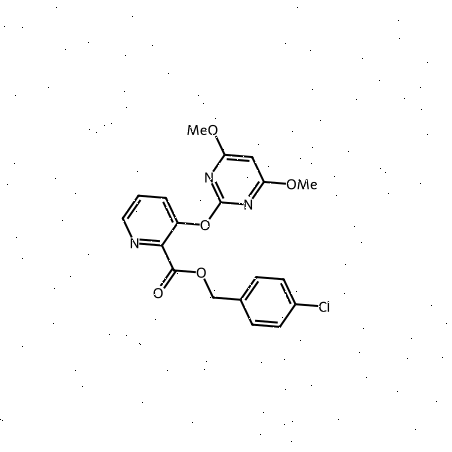 COc1cc(OC)nc(Oc2cccnc2C(=O)OCc2ccc(Cl)cc2)n1